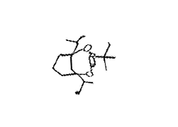 CC(C)[C@@]12CCC[C@]1(C(C)C)OB(C(C)(C)C)O2